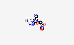 CNc1nc(-c2cccnc2)nc(Oc2cc(C(=O)N3CCOCC3)ccc2C)c1C=N